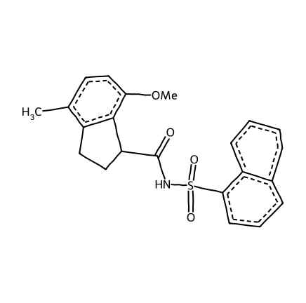 COc1ccc(C)c2c1C(C(=O)NS(=O)(=O)c1cccc3ccccc13)CC2